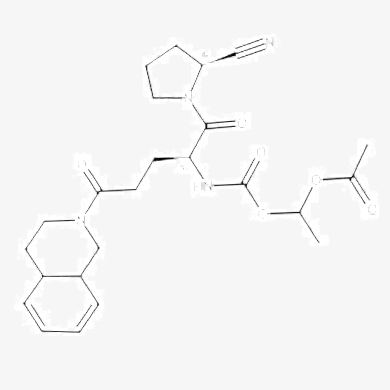 CC(=O)OC(C)OC(=O)N[C@@H](CCC(=O)N1CCC2C=CC=CC2C1)C(=O)N1CCC[C@H]1C#N